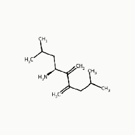 C=C(CC(C)C)C(=C)[C@@H](N)CC(C)C